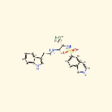 C[C@@H](CNCCc1c[nH]c2ccccc12)NS(=O)(=O)c1ccc2cnccc2c1.Cl